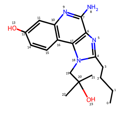 CCCCc1nc2c(N)nc3cc(O)ccc3c2n1CC(C)(C)O